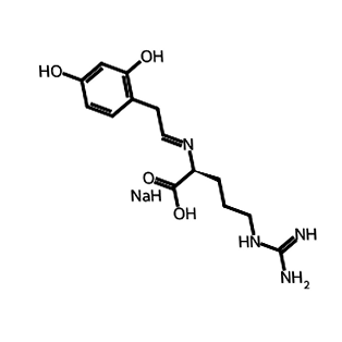 N=C(N)NCCC[C@H](N=CCc1ccc(O)cc1O)C(=O)O.[NaH]